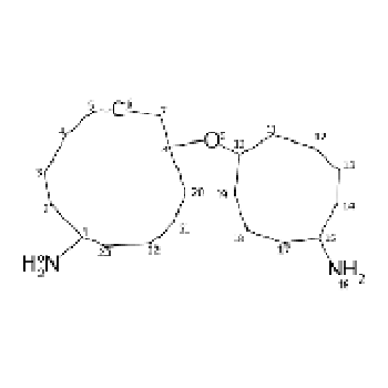 NC1CCCCCCC(OC2CCCCC(N)CCC2)CCCC1